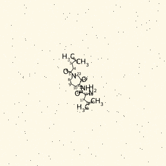 CC(C)CCC(=O)N1CCCC(NC(=O)[C@@H](N)CC(C)C)C(=O)C1